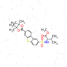 COC(=O)[C@H](NS(=O)(=O)c1ccc2sc3cc(B4OC(C)(C)C(C)(C)O4)ccc3c2c1)C(C)C